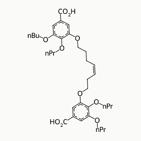 CCCCOc1cc(C(=O)O)cc(OCCC/C=C\CCOc2cc(C(=O)O)cc(OCCC)c2OCCC)c1OCCC